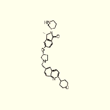 C[C@H]1c2cc(O[C@H]3CCN(Cc4ccc5nc(C6CCOCC6)ccc5c4)C3)ccc2C(=O)N1[C@H]1CCCNC1